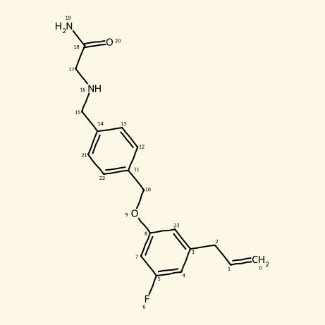 C=CCc1cc(F)cc(OCc2ccc(CNCC(N)=O)cc2)c1